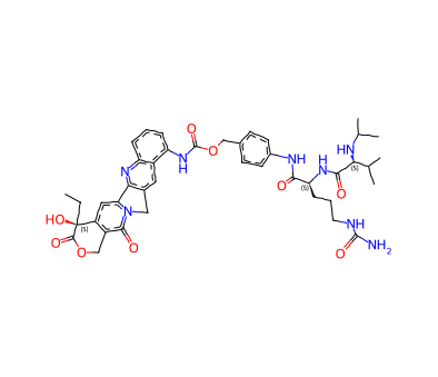 CC[C@@]1(O)C(=O)OCc2c1cc1n(c2=O)Cc2cc3c(NC(=O)OCc4ccc(NC(=O)[C@H](CCCNC(N)=O)NC(=O)[C@@H](NC(C)C)C(C)C)cc4)cccc3nc2-1